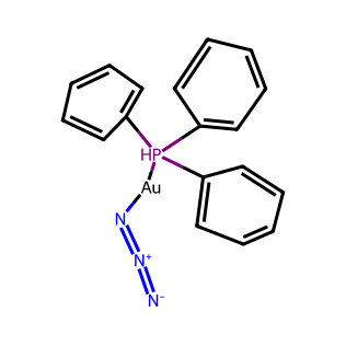 [N-]=[N+]=[N][Au][PH](c1ccccc1)(c1ccccc1)c1ccccc1